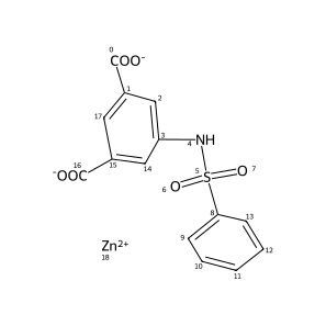 O=C([O-])c1cc(NS(=O)(=O)c2ccccc2)cc(C(=O)[O-])c1.[Zn+2]